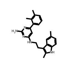 Cc1ccc2[nH]c(C)c(CCNc3cc(-c4cccc(C)c4C)nc(N)n3)c2c1